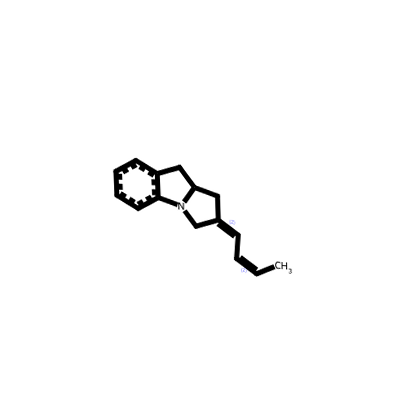 C/C=C\C=C1\CC2Cc3ccccc3N2C1